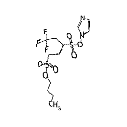 CCCCOS(=O)(=O)CCC(CC(F)(F)F)S(=O)(=O)On1ccnc1